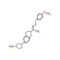 COc1ccc(CO/N=C(\C)C2CCc3cc(C4CCC(N)C4)ccc3C2)cc1